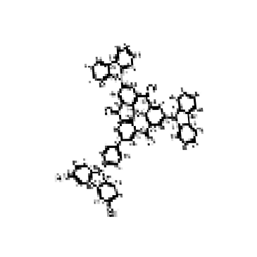 O=c1c2cc(-c3ccc(-n4c5ccc(Br)cc5c5cc(Br)ccc54)cc3)cc3c(=O)c4cc(-n5c6ccccc6c6ccccc65)cc5c(=O)c6cc(-n7c8ccccc8c8ccccc87)cc1c6n(c23)c45